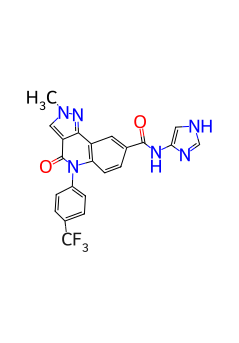 Cn1cc2c(=O)n(-c3ccc(C(F)(F)F)cc3)c3ccc(C(=O)Nc4c[nH]cn4)cc3c2n1